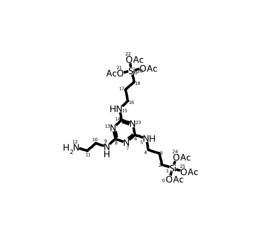 CC(=O)O[Si](CCCNc1nc(NCCN)nc(NCCC[Si](OC(C)=O)(OC(C)=O)OC(C)=O)n1)(OC(C)=O)OC(C)=O